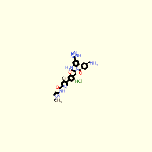 Cc1cc(C(=O)Nc2ccn(C)n2)ncc1-c1ccc(C[C@@H](C(N)=O)N(c2ccc(-c3nnn[nH]3)cc2)C(=O)[C@H]2CC[C@H](CN)CC2)cc1.Cl